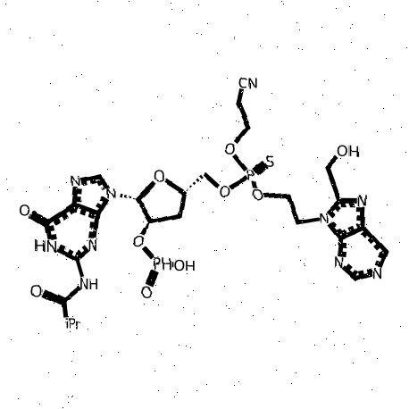 CC(C)C(=O)Nc1nc2c(ncn2[C@@H]2O[C@H](COP(=S)(OCCC#N)OCCn3c(CO)nc4cncnc43)C[C@H]2O[PH](=O)O)c(=O)[nH]1